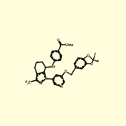 COC(=O)c1ccc(NC2CCCc3c(C(F)(F)F)nn(-c4cncc(OCc5ccc6c(c5)OC(F)(F)O6)c4)c32)cc1